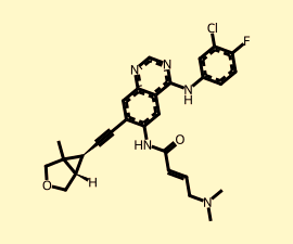 CN(C)C/C=C/C(=O)Nc1cc2c(Nc3ccc(F)c(Cl)c3)ncnc2cc1C#C[C@H]1[C@@H]2COCC12C